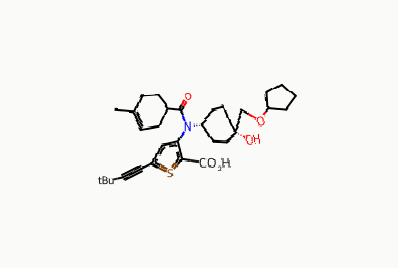 CC1=CCC(C(=O)N(c2cc(C#CC(C)(C)C)sc2C(=O)O)[C@H]2CC[C@](O)(COC3CCCC3)CC2)CC1